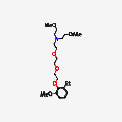 CCc1cccc(OC)c1OCCOCCOCCN(CCOC)CCOC